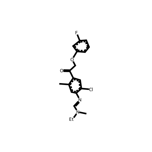 CCN(C)C=Nc1cc(C)c(C(=O)COc2cccc(F)c2)cc1Cl